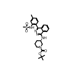 Cc1ccc(-c2nnc(N[C@@H]3CCCN(C(=O)OC(C)(C)C)C3)c3ccccc23)c(NS(C)(=O)=O)c1